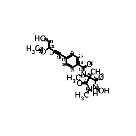 CNC(=O)C(C)(C(=O)NO)N(C)C(=O)c1ccc(C#CC(CO)OC)cc1